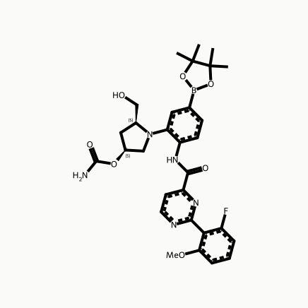 COc1cccc(F)c1-c1nccc(C(=O)Nc2ccc(B3OC(C)(C)C(C)(C)O3)cc2N2C[C@@H](OC(N)=O)C[C@H]2CO)n1